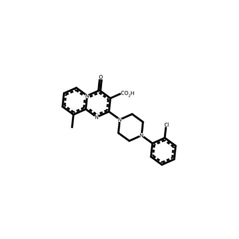 Cc1cccn2c(=O)c(C(=O)O)c(N3CCN(c4ccccc4Cl)CC3)nc12